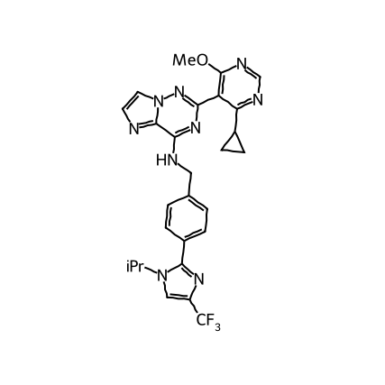 COc1ncnc(C2CC2)c1-c1nc(NCc2ccc(-c3nc(C(F)(F)F)cn3C(C)C)cc2)c2nccn2n1